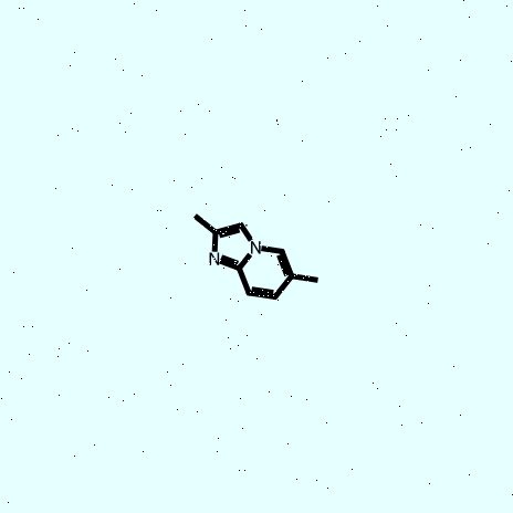 Cc1ccc2nc(C)[c]n2c1